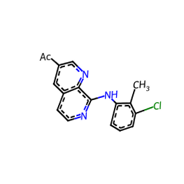 CC(=O)c1cnc2c(Nc3cccc(Cl)c3C)nccc2c1